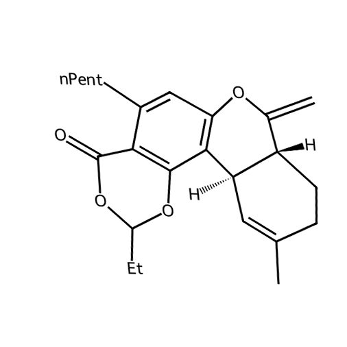 C=C1Oc2cc(CCCCC)c3c(c2[C@@H]2C=C(C)CC[C@@H]12)OC(CC)OC3=O